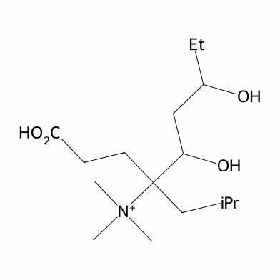 CCC(O)CC(O)C(CCC(=O)O)(CC(C)C)[N+](C)(C)C